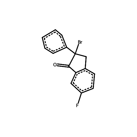 O=C1c2cc(F)ccc2CC1(Br)c1ccccc1